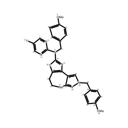 COc1ccc(CN(c2ncc(F)cn2)c2nc3c(s2)CCNc2nn(Cc4ccc(OC)cc4)cc2-3)cc1